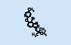 Cc1ccc(Oc2ccc3c(nnn3CC(C)(C)C)c2Br)nc1